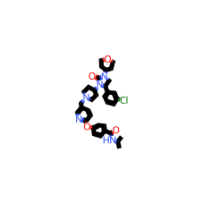 CC(C)NC(=O)c1ccc(Oc2ccc(CN3CCC(N4C(=O)N(C5CCOCC5)CC4c4cccc(Cl)c4)CC3)cn2)cc1